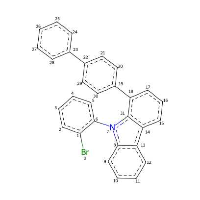 Brc1ccccc1-n1c2ccccc2c2cccc(-c3ccc(-c4ccccc4)cc3)c21